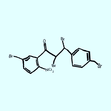 O=C(c1cc(Br)ccc1[N+](=O)[O-])C(Br)C(Br)c1ccc(Br)cc1